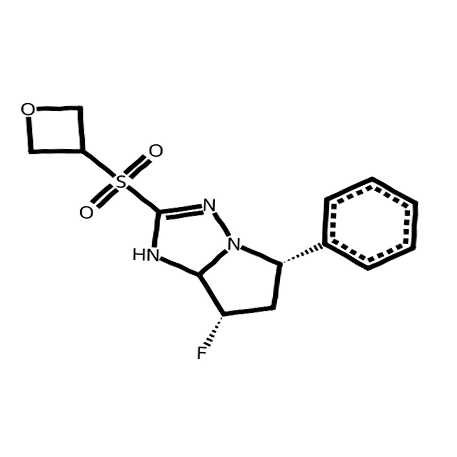 O=S(=O)(C1=NN2C(N1)[C@@H](F)C[C@H]2c1ccccc1)C1COC1